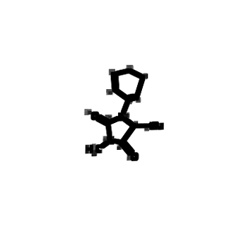 CN1C(=O)C(C(C)(C)C)N(C2=CCCC=C2)C1=O